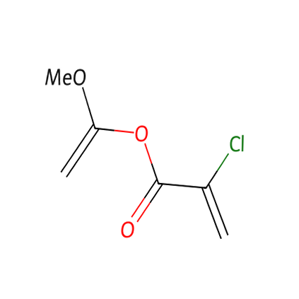 C=C(OC)OC(=O)C(=C)Cl